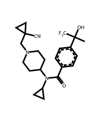 CC(O)(c1ccc(C(=O)N(C2CC2)C2CCN(CC3(C#N)CC3)CC2)cc1)C(F)(F)F